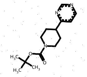 CC(C)(C)OC(=O)N1CCC(c2ccncn2)CC1